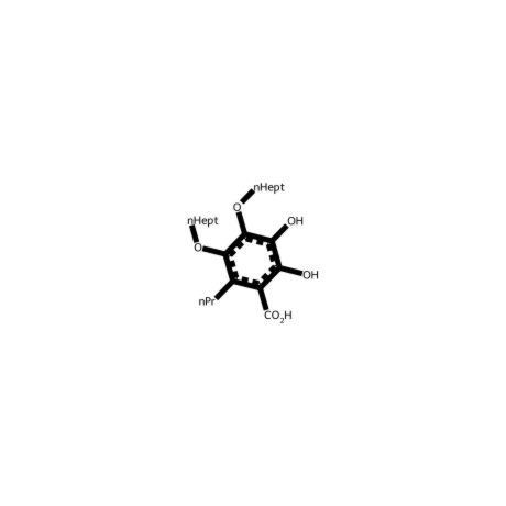 CCCCCCCOc1c(O)c(O)c(C(=O)O)c(CCC)c1OCCCCCCC